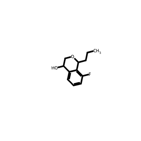 CCCC1OCC(O)c2cccc(F)c21